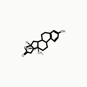 C[C@]12CCC3c4ccc(O)cc4CCC3C1C[C@H]1OC(=O)C[C@]12O